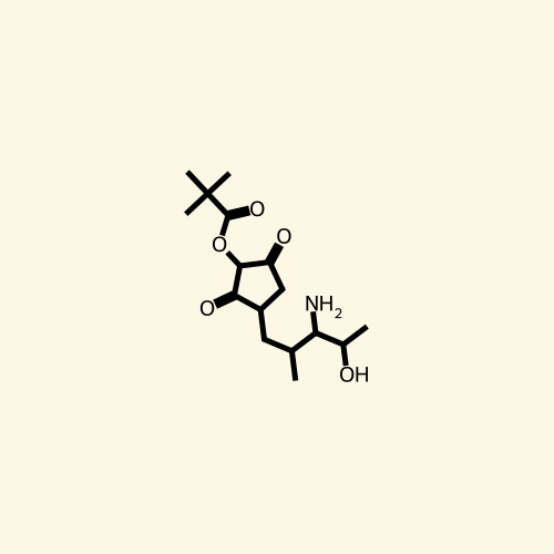 CC(O)C(N)C(C)CC1CC(=O)C(OC(=O)C(C)(C)C)C1=O